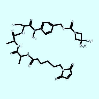 CC(=O)CC(NC(=O)C(C)NC(=O)C(C)NC(=O)CCCCCN1C(=O)C=CC1=O)C(=O)N(N)c1ccc(COC(=O)N2CC(C(=O)O)(C(=O)O)C2)cc1